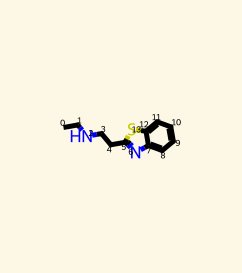 CCNCCc1nc2ccccc2s1